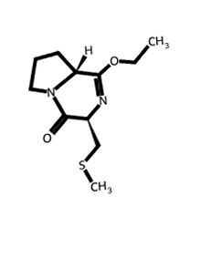 CCOC1=N[C@@H](CSC)C(=O)N2CCC[C@H]12